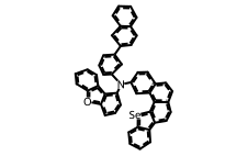 c1cc(-c2ccc3ccccc3c2)cc(N(c2ccc3ccc4ccc5c6ccccc6[se]c5c4c3c2)c2cccc3oc4ccccc4c23)c1